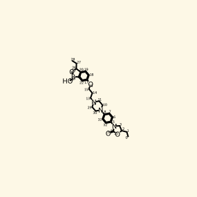 CCC1CN(c2ccc(N3CCN(CCCOc4ccc5c(c4)B(O)OC5CC)CC3)cc2)C(=O)O1